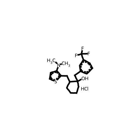 CN(C)c1ccsc1CC1CCCCC1(O)Cc1cccc(C(F)(F)F)c1.Cl